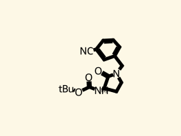 CC(C)(C)OC(=O)N[C@H]1CCN(Cc2cccc(C#N)c2)C1=O